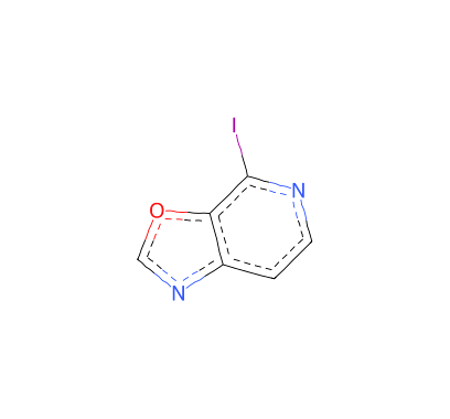 Ic1nccc2ncoc12